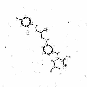 Cc1ccc(OCC(O)COc2cccc(CC(OC(C)C)C(=O)O)c2)c(Br)c1